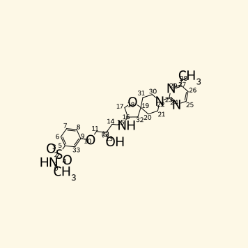 CNS(=O)(=O)c1cccc(OC[C@@H](O)CNC2COC3(CCN(c4nccc(C)n4)CC3)C2)c1